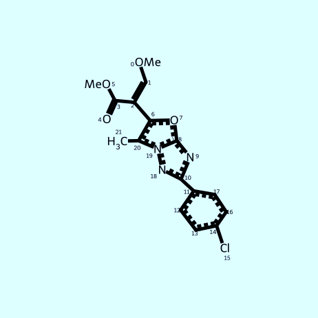 COC=C(C(=O)OC)c1oc2nc(-c3ccc(Cl)cc3)nn2c1C